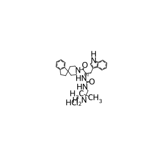 CC(C)(N)CNC(=O)N[C@H](Cc1c[nH]c2ccccc12)C(=O)N1CCC2(CCc3ccccc32)CC1.Cl